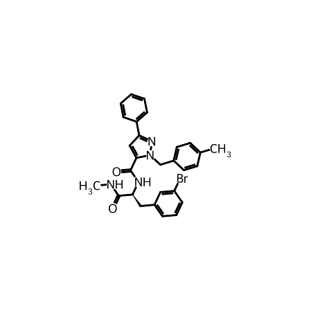 CNC(=O)[C@H](Cc1cccc(Br)c1)NC(=O)c1cc(-c2ccccc2)nn1Cc1ccc(C)cc1